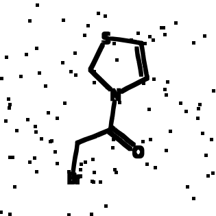 O=C(CBr)N1C=CSC1